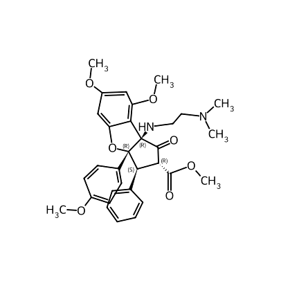 COC(=O)[C@H]1C(=O)[C@@]2(NCCN(C)C)c3c(OC)cc(OC)cc3O[C@@]2(c2ccc(OC)cc2)[C@@H]1c1ccccc1